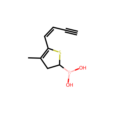 C#C/C=C\C1=C(C)CC(B(O)O)S1